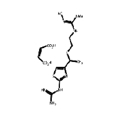 CNC(=NC#N)NCCSC(C)c1csc(NC(=N)N)n1.O=C(O)/C=C\C(=O)O